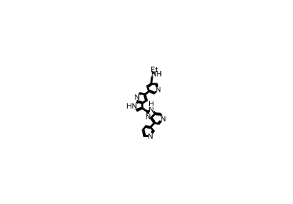 CCNCc1cncc(-c2cnc3[nH]cc(-c4nc5c(-c6cccnc6)cncc5[nH]4)c3c2)c1